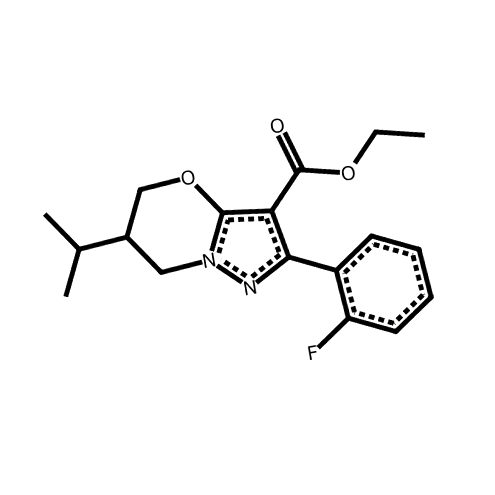 CCOC(=O)c1c(-c2ccccc2F)nn2c1OCC(C(C)C)C2